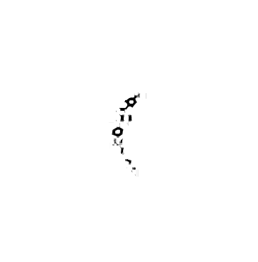 COc1ccc(-c2cnc3c(Nc4ccc(S(=O)(=O)NCCOCCOC(N)=O)cc4)nccn23)c(F)c1F